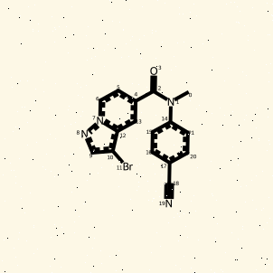 CN(C(=O)c1ccn2ncc(Br)c2c1)c1ccc(C#N)cc1